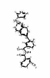 CCC(NC(=O)c1cccc(C(F)(F)F)c1)c1ccc(C)c(-c2ccc3nc(Nc4cnn(C)c4)ncc3c2)c1